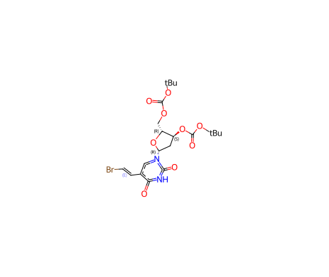 CC(C)(C)OC(=O)OC[C@H]1O[C@@H](n2cc(/C=C/Br)c(=O)[nH]c2=O)C[C@@H]1OC(=O)OC(C)(C)C